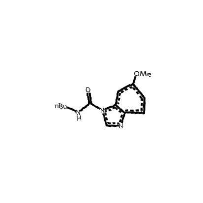 CCCCNC(=O)n1cnc2ccc(OC)cc21